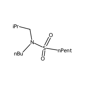 CCCCCS(=O)(=O)N(CCCC)CC(C)C